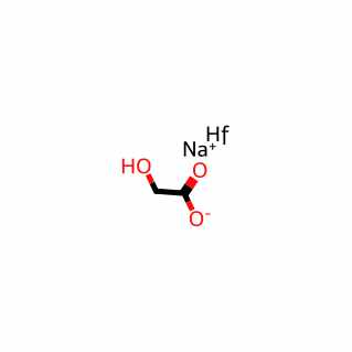 O=C([O-])CO.[Hf].[Na+]